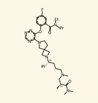 CCN(C(=O)c1cc(F)ccc1Oc1nncnc1N1CCC2(C1)CN([C@H](CCCN(C)C[C@H](C)C(=O)N(C)C)C(C)C)C2)C(C)C